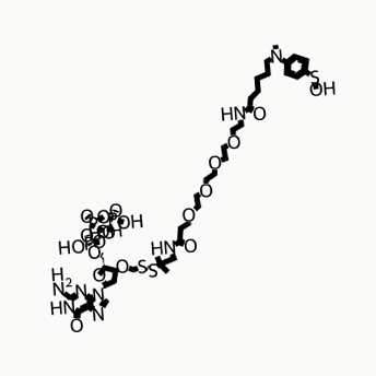 CN(CCCCCC(=O)NCCOCCOCCOCCOCCC(=O)NCC(C)(C)SSCO[C@@H]1C[C@H](n2cnc3c(=O)[nH]c(N)nc32)O[C@@H]1COP(=O)(O)OP(=O)(O)OP(=O)(O)O)c1ccc(SO)cc1